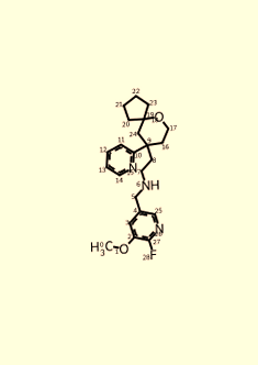 COc1cc(CNCCC2(c3ccccn3)CCOC3(CCCC3)C2)cnc1F